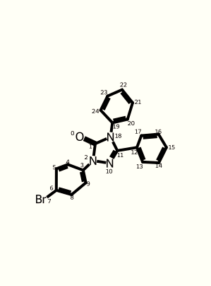 O=c1n(-c2ccc(Br)cc2)nc(-c2ccccc2)n1-c1ccccc1